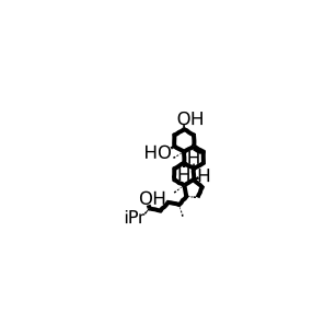 CC(C)[C@H](O)CC[C@@H](C)[C@H]1CC[C@H]2[C@@H]3CC=C4C[C@@H](O)C[C@H](O)[C@]4(C)[C@H]3CC[C@]12C